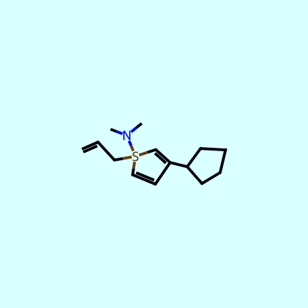 C=CCS1(N(C)C)C=CC(C2CCCC2)=C1